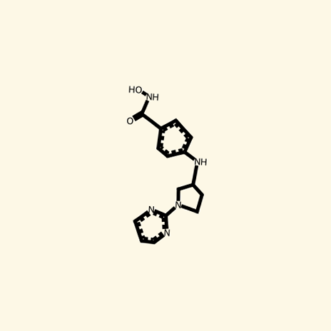 O=C(NO)c1ccc(NC2CCN(c3ncccn3)C2)cc1